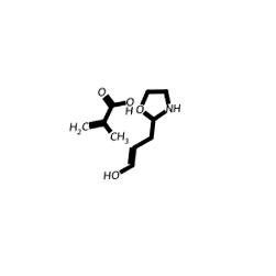 C=C(C)C(=O)O.OC=CCC1NCCO1